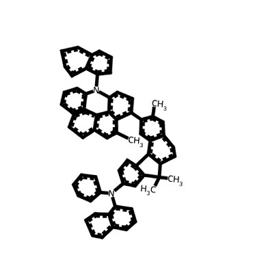 Cc1cc2ccc3c(c2cc1-c1ccc(N(c2ccccc2)c2cccc4ccccc24)c2c1c(C)cc1ccccc12)-c1ccc(N(c2ccccc2)c2cccc4ccccc24)cc1C3(C)C